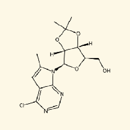 Cc1cc2c(Cl)ncnc2n1[C@@H]1O[C@H](CO)[C@H]2OC(C)(C)O[C@H]21